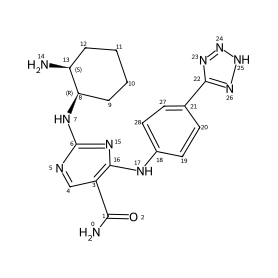 NC(=O)c1cnc(N[C@@H]2CCCC[C@@H]2N)nc1Nc1ccc(-c2nn[nH]n2)cc1